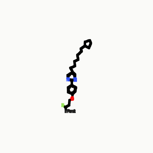 CCCCCC(F)CCOc1ccc(-c2ncc(CCCCCCCC3CCCC3)cn2)cc1